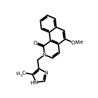 COc1cc2ccccc2c2c(=O)n(Cc3nc[nH]c3C)ccc12